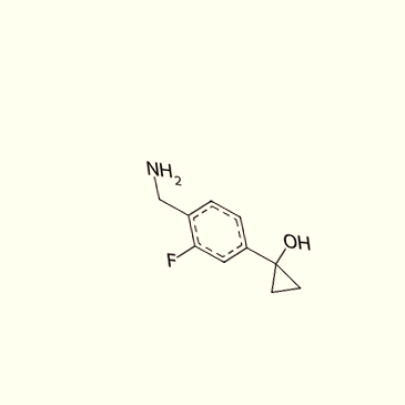 NCc1ccc(C2(O)CC2)cc1F